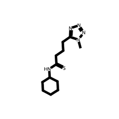 Cn1nnnc1CCCC(=S)NC1CCCCC1